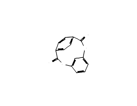 O=C1Oc2cccc(c2)OC(=O)c2ccc1cc2